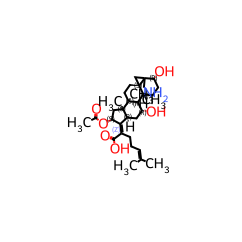 CC(=O)O[C@H]1C[C@@]2(C)[C@@H](C[C@@H](O)[C@@H]3[C@]2(C)CC[C@@]24CC2(CN)[C@H](O)CC[C@]34C)/C1=C(\CCC=C(C)C)C(=O)O